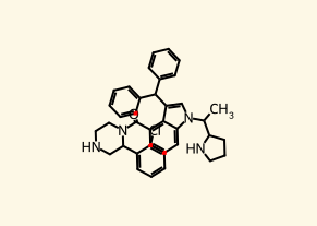 CC(C1CCCN1)n1cc(C(c2ccccc2)c2ccccc2)c2c(C(=O)N3CCNCC3c3ccccc3Cl)cccc21